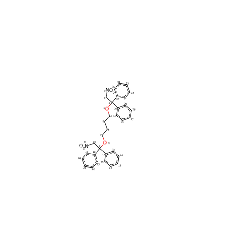 O=[N+]([O-])CC(OCCCCOC(C[N+](=O)[O-])(c1ccccc1)c1ccccc1)(c1ccccc1)c1ccccc1